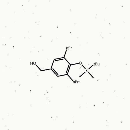 CCCc1cc(CO)cc(CCC)c1O[Si](C)(C)C(C)(C)C